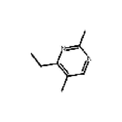 CCc1nc(C)n[c]c1C